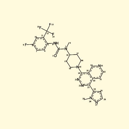 CN(C(=O)Nc1ccc(F)cc1C(F)(F)F)C1CCN(c2nnc(-c3ccnn3C)c3ccncc23)CC1